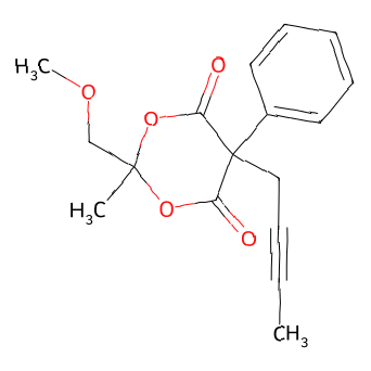 CC#CCC1(c2ccccc2)C(=O)OC(C)(COC)OC1=O